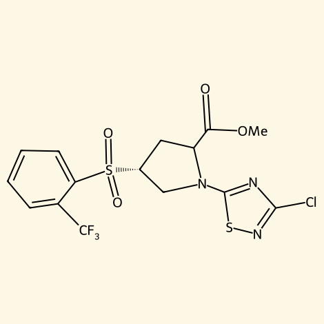 COC(=O)C1C[C@@H](S(=O)(=O)c2ccccc2C(F)(F)F)CN1c1nc(Cl)ns1